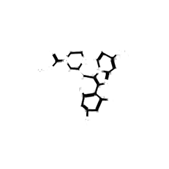 [C-]#[N+]c1cc(F)c(-c2nc3cc(C)ccn3c2C[C@H]2CN(C(=O)OC)CCO2)c(F)c1